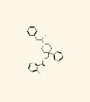 O=C(NCC1(c2ccccc2)CCN(C(Cc2ccccc2)C(F)(F)F)CC1)c1ncccc1Cl